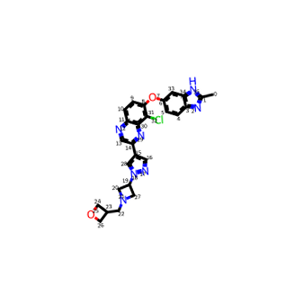 Cc1nc2ccc(Oc3ccc4ncc(-c5cnn(C6CN(CC7COC7)C6)c5)nc4c3Cl)cc2[nH]1